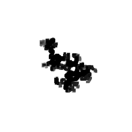 CCC(Oc1ccc(C(C)(C)CC)cc1C(C)(C)CC)C(=O)Nc1cc(OCCNS(C)(=O)=O)c(C)c(Cl)c1O